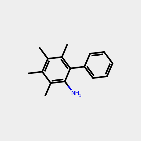 Cc1c(C)c(C)c(-c2ccccc2)c(N)c1C